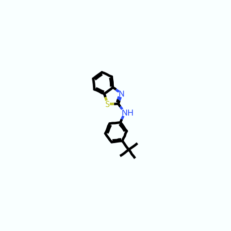 CC(C)(C)c1cccc(Nc2nc3ccccc3s2)c1